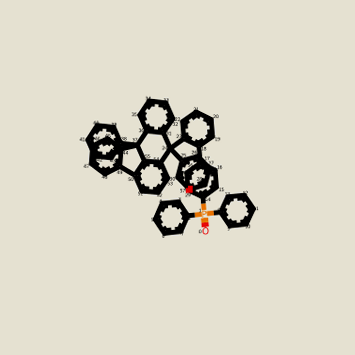 O=P(c1ccccc1)(c1ccccc1)c1ccc(-c2ccccc2C2(c3ccccc3)c3ccccc3C3(c4ccccc4)c4ccccc4-c4cccc2c43)cc1